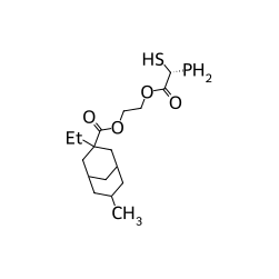 CCC1(C(=O)OCCOC(=O)[C@@H](P)S)CC2CC(C)CC(C2)C1